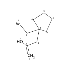 C=C(O)CC1(CC(C)=O)CCCC1